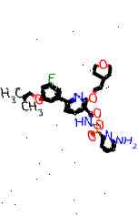 CC(C)COc1cc(F)cc(-c2ccc(C(=O)NS(=O)(=O)c3cccc(N)n3)c(OCCC3CCOCC3)n2)c1